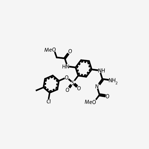 COCC(=O)Nc1ccc(NC(N)=NC(=O)OC)cc1S(=O)(=O)Oc1ccc(C)c(Cl)c1